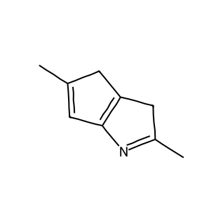 CC1=CC2=C(C1)CC(C)=N2